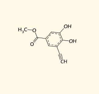 C#Cc1cc(C(=O)OC)cc(O)c1O